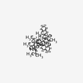 CCCC[C@@H](C(=O)N[C@@H](CC(C)C)[C@@H](O)C=C(C(=O)NCC(C)C)C(C)C)N(C(=O)[C@H](C)NC(=O)OCc1ccccc1)c1cccc2ccccc12